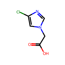 O=C(O)Cn1cnc(Cl)c1